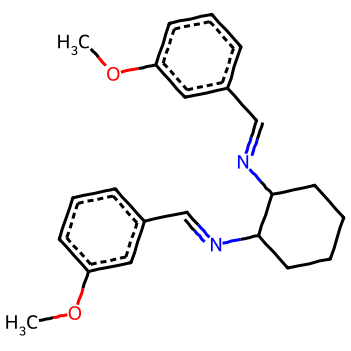 COc1cccc(C=NC2CCCCC2N=Cc2cccc(OC)c2)c1